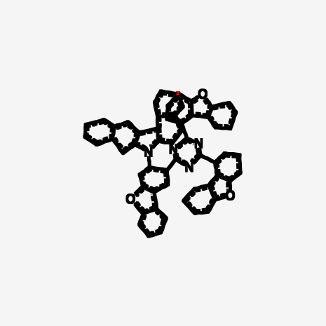 c1ccc2cc3c(cc2c1)c1c2ccccc2ccc1n3-c1cc2oc3ccccc3c2cc1-c1nc(-c2cccc3oc4ccccc4c23)nc(-c2cccc3oc4ccccc4c23)n1